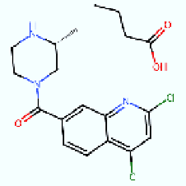 CCCC(=O)O.C[C@@H]1CN(C(=O)c2ccc3c(Cl)cc(Cl)nc3c2)CCN1